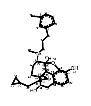 Cc1cccc(CCCN(C)[C@@H]2CC[C@@]3(O)[C@H]4Cc5ccc(O)c6c5[C@@]3(CCN4CC3CC3)[C@H]2O6)c1